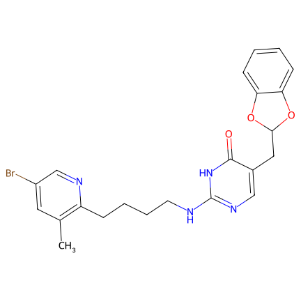 Cc1cc(Br)cnc1CCCCNc1ncc(CC2Oc3ccccc3O2)c(=O)[nH]1